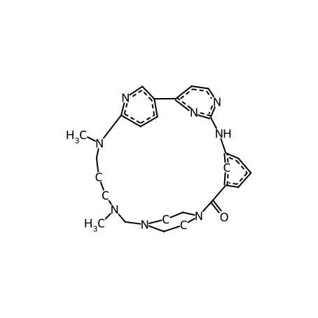 CN1CCCN(C)c2ccc(cn2)-c2ccnc(n2)Nc2cccc(c2)C(=O)N2CCN(CC2)C1